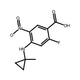 CC1(Nc2cc(F)c(C(=O)O)cc2[N+](=O)[O-])CC1